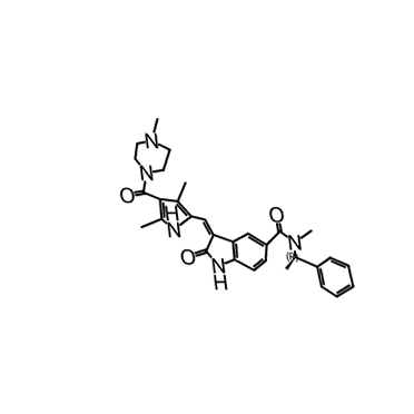 Cc1[nH]c(C=C2C(=O)Nc3ccc(C(=O)N(C)[C@H](C)c4ccccc4)cc32)c(C)c1C(=O)N1CCN(C)CC1